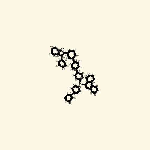 c1ccc(-c2ccc(N(c3ccc(-c4ccc(-c5cccc(-c6oc7ccccc7c6-c6ccccc6)c5)cc4)cc3)c3cc4ccccc4c4ccccc34)cc2)cc1